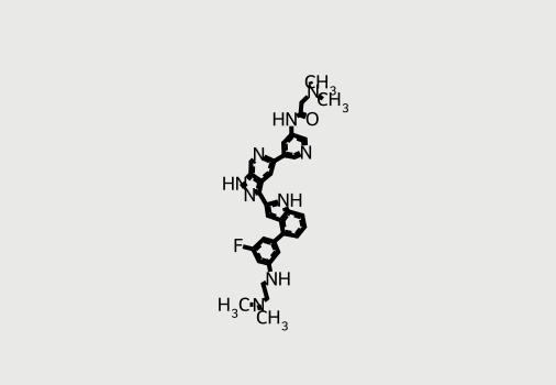 CN(C)CCNc1cc(F)cc(-c2cccc3[nH]c(-c4n[nH]c5cnc(-c6cncc(NC(=O)CN(C)C)c6)cc45)cc23)c1